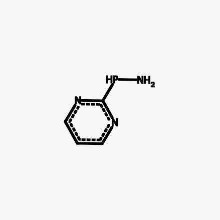 NPc1ncccn1